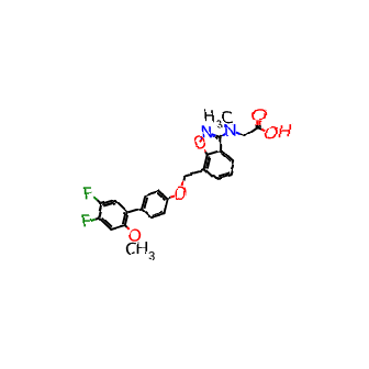 COc1cc(F)c(F)cc1-c1ccc(OCc2cccc3c(N(C)CC(=O)O)noc23)cc1